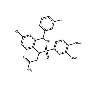 COc1ccc(S(=O)(=O)N(CC(N)=O)c2ccc(Cl)cc2C(O)c2cccc(Cl)c2)cc1OC